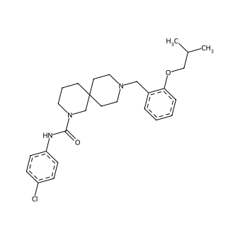 CC(C)COc1ccccc1CN1CCC2(CCCN(C(=O)Nc3ccc(Cl)cc3)C2)CC1